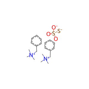 C[N+](C)(C)Cc1ccccc1.C[N+](C)(C)Cc1ccccc1.O=S(=O)([O-])[S-]